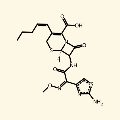 CCC/C=C\C1=C(C(=O)O)N2C(=O)C(NC(=O)/C(=N\OC)c3csc(N)n3)[C@H]2SC1